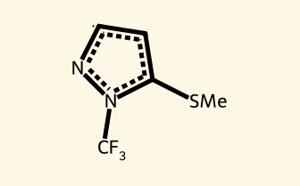 CSc1c[c]nn1C(F)(F)F